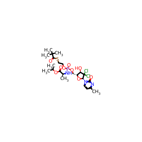 Cc1ccn([C@@H]2O[C@H](COP(=O)(N[C@@H](C)C(=O)OC(C)C)OCCSC(=O)C(C)(C)C)[C@@H](O)C2(Cl)Cl)c(=O)n1